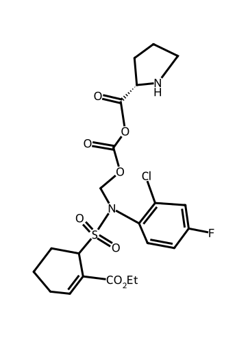 CCOC(=O)C1=CCCCC1S(=O)(=O)N(COC(=O)OC(=O)[C@@H]1CCCN1)c1ccc(F)cc1Cl